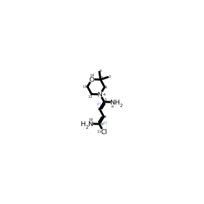 CC1(C)CN(/C(N)=C/C=C(\N)Cl)CCO1